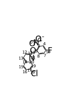 O=[N+]([O-])c1cc(F)ccc1Oc1ccc2ccc(Cl)cc2n1